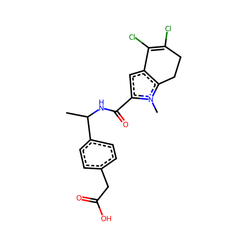 CC(NC(=O)c1cc2c(n1C)CCC(Cl)=C2Cl)c1ccc(CC(=O)O)cc1